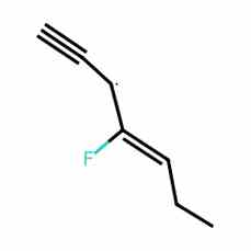 C#C[CH]/C(F)=C/CC